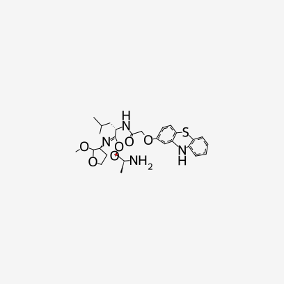 COC1OCC[C@@H]1N=C(OC(=O)[C@H](C)N)[C@H](CC(C)C)NC(=O)COc1ccc2c(c1)Nc1ccccc1S2